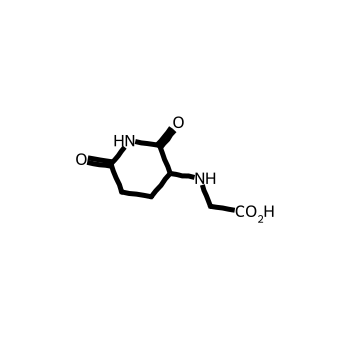 O=C(O)CNC1CCC(=O)NC1=O